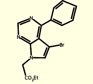 CCOC(=O)Cn1cc(Br)c2c(-c3ccccc3)ncnc21